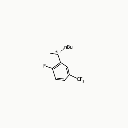 CCCC[C@@H](C)c1cc(C(F)(F)F)ccc1F